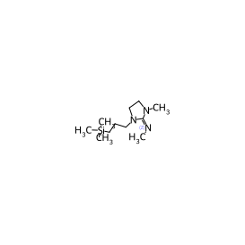 C/N=C1/N(C)CCN1CCC[Si](C)(C)C